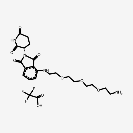 NCCOCCOCCOCCNc1cccc2c1C(=O)N([C@H]1CCC(=O)NC1=O)C2=O.O=C(O)C(F)(F)F